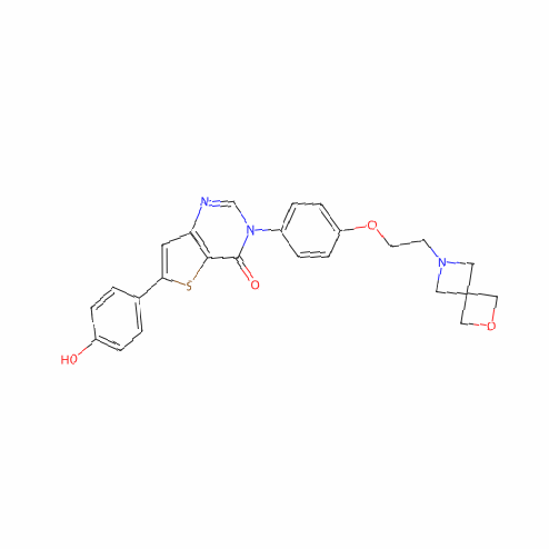 O=c1c2sc(-c3ccc(O)cc3)cc2ncn1-c1ccc(OCCN2CC3(COC3)C2)cc1